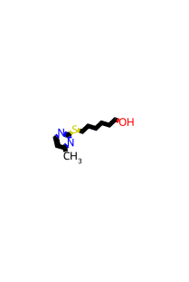 Cc1ccnc(SCCCCCCO)n1